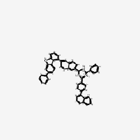 c1ccc(-c2ccc3c(c2)oc2cccc(-c4ccc5cc(C6NC(c7ccc(-c8cccc9ccccc89)cc7)=NC(c7ccccc7)N6)ccc5c4)c23)cc1